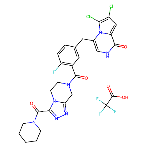 O=C(O)C(F)(F)F.O=C(c1cc(Cc2c[nH]c(=O)c3cc(Cl)c(Cl)n23)ccc1F)N1CCn2c(nnc2C(=O)N2CCCCC2)C1